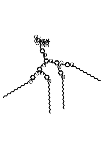 CCCCCCCCCCCCCCCCOc1ccc(COc2ccc(COc3cc(COc4ccc(CC(NC(=O)OC(C)(C)C)C(=O)N[C@@H](C)C(=O)OC)cc4)cc(OCc4ccc(OCc5ccc(OCCCCCCCCCCCCCCCC)cc5)c(OCc5ccc(OCCCCCCCCCCCCCCCC)cc5)c4)c3)cc2OCc2ccc(OCCCCCCCCCCCCCCCC)cc2)cc1